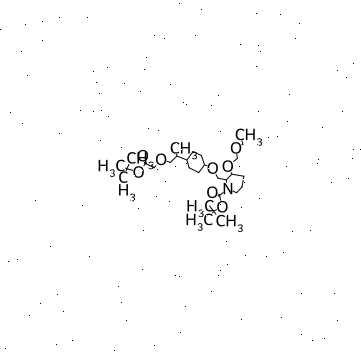 CCOCOC1CCCN(C(=O)OC(C)(C)C)C1COC1CCC(C(C)COCC(=O)OC(C)(C)C)CC1